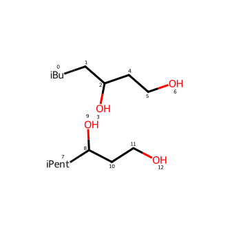 CCC(C)CC(O)CCO.CCCC(C)C(O)CCO